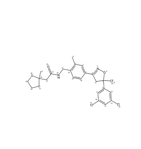 Cc1cc(C2=NOC(c3cc(Cl)cc(Cl)c3)(C(F)(F)F)C2)ccc1CNC(=O)CC1(C)OCCO1